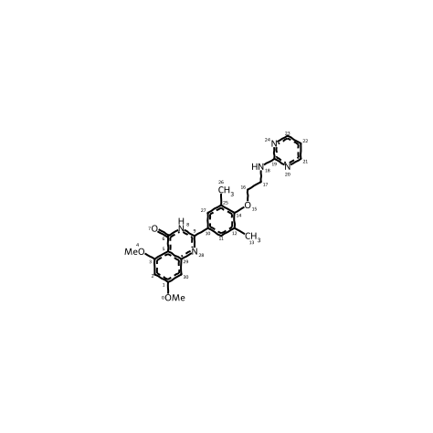 COc1cc(OC)c2c(=O)[nH]c(-c3cc(C)c(OCCNc4ncccn4)c(C)c3)nc2c1